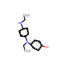 O=C(O)CNc1ccc(N(CC(=O)O)c2ccc(O)cc2)cc1